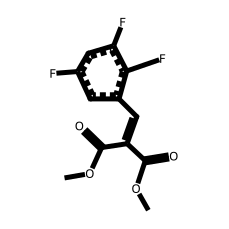 COC(=O)C(=Cc1cc(F)cc(F)c1F)C(=O)OC